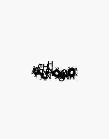 Cn1cccc1-c1ccnc(Nc2ccc(S(=O)(=O)Nc3ccccc3)cc2)n1